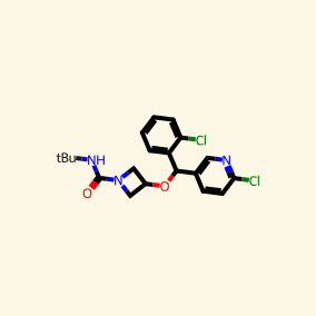 CC(C)(C)NC(=O)N1CC(OC(c2ccc(Cl)nc2)c2ccccc2Cl)C1